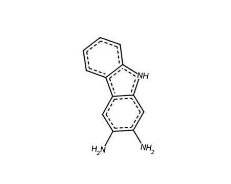 Nc1cc2[nH]c3ccccc3c2cc1N